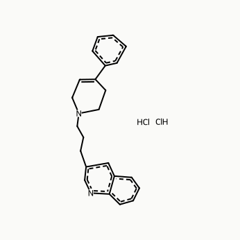 C1=C(c2ccccc2)CCN(CCCc2cnc3ccccc3c2)C1.Cl.Cl